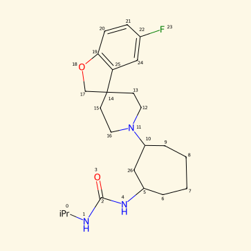 CC(C)NC(=O)NC1CCCCC(N2CCC3(CC2)COc2ccc(F)cc23)C1